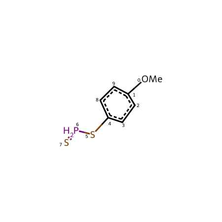 COc1ccc(S[PH2]=S)cc1